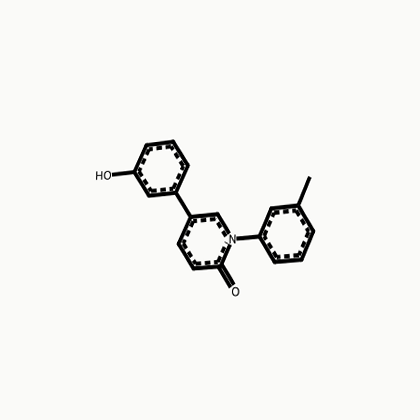 Cc1cccc(-n2cc(-c3cccc(O)c3)ccc2=O)c1